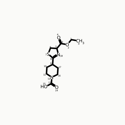 CCOC(=O)C1CSC(C2CCN(C(=O)O)CC2)=N1